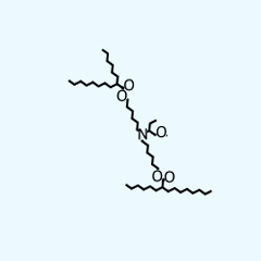 CCCCCCCCC(CCCCCC)C(=O)OCCCCCCN(CCCCCCOC(=O)C(CCCCCC)CCCCCCCC)C(CC)COC